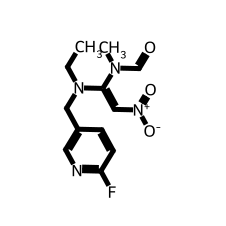 CCN(Cc1ccc(F)nc1)C(=C[N+](=O)[O-])N(C)C=O